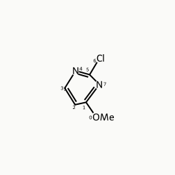 COc1c[c]nc(Cl)n1